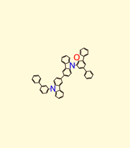 c1ccc(-c2cccc(-n3c4ccccc4c4cc(-c5ccc6c(c5)c5ccccc5n6-c5cc(-c6ccccc6)cc6c5oc5ccccc56)ccc43)c2)cc1